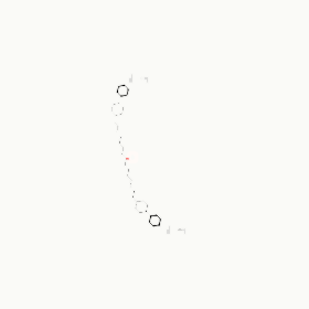 CCCCCc1ccc(C2CCC(CCCCCCCC(=O)CCCCCCC[C@H]3CC[C@H](c4ccc(CCCCC)cc4)CC3)CC2)cc1